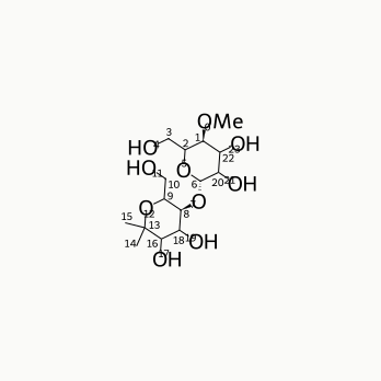 CO[C@@H]1C(CO)O[C@@H](O[C@@H]2C(CO)OC(C)(C)C(O)C2O)C(O)C1O